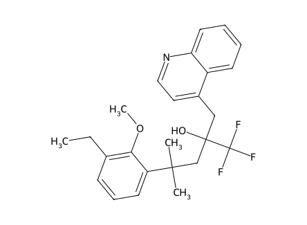 CCc1cccc(C(C)(C)CC(O)(Cc2ccnc3ccccc23)C(F)(F)F)c1OC